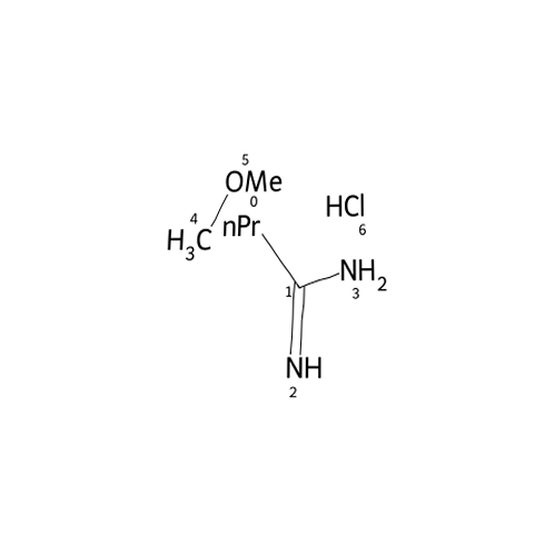 CCCC(=N)N.COC.Cl